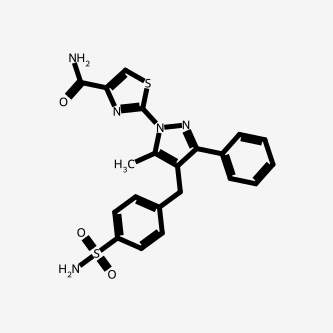 Cc1c(Cc2ccc(S(N)(=O)=O)cc2)c(-c2ccccc2)nn1-c1nc(C(N)=O)cs1